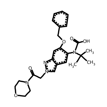 CC(C)(C)N(C(=O)O)c1cc2cn(CC(=O)N3CCOCC3)nc2cc1OCc1ccccc1